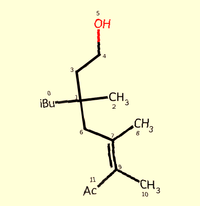 CCC(C)C(C)(CCO)C/C(C)=C(/C)C(C)=O